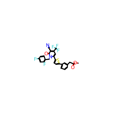 COC(=O)Cc1cccc(-c2ccc(-c3cc(C(F)(F)F)c(C#N)c(=O)n3Cc3ccc(F)cc3F)s2)c1